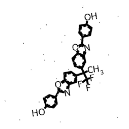 CC(c1ccc2oc(-c3ccc(O)cc3)nc2c1)(c1ccc2oc(-c3ccc(O)cc3)nc2c1)C(F)(F)F